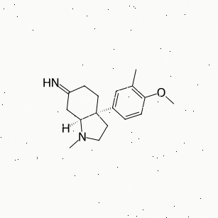 COc1ccc([C@@]23CCC(=N)C[C@@H]2N(C)CC3)cc1C